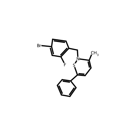 CC1=CC=C(c2ccccc2)SN1Cc1ccc(Br)cc1F